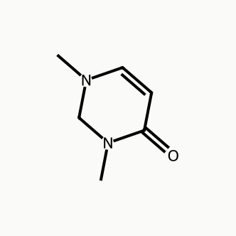 CN1C=CC(=O)N(C)C1